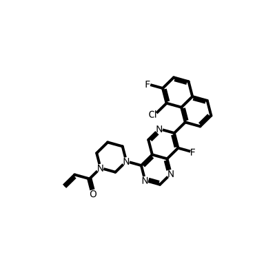 C=CC(=O)N1CCCN(c2ncnc3c(F)c(-c4cccc5ccc(F)c(Cl)c45)ncc23)C1